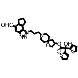 O=Cc1cc2nnn(CCCN3CCC4(CC3)C[C@@H](OC(=O)C(O)(c3cccs3)c3cccs3)CO4)c2c2c1CCC2